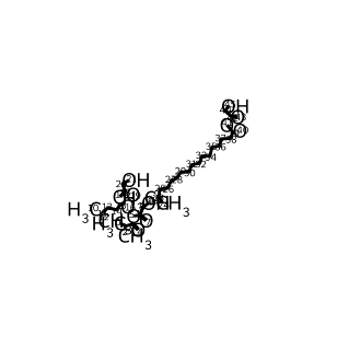 CC(C)C(=O)OC(=O)CO.CC(C)CCC(=O)OC(=O)CO.CC(C)CCCCCCCCCCCCCCC(=O)OC(=O)CO